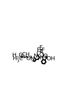 C[Si](C)(C)CCOCn1ccc2cc3c(nc21)OC(C(F)(F)F)CCN3c1ccccc1C(=O)O